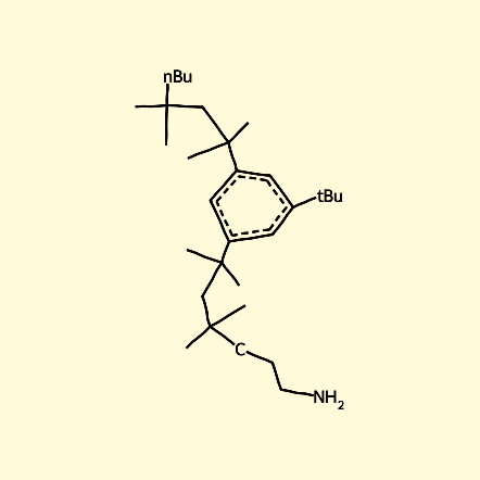 CCCCC(C)(C)CC(C)(C)c1cc(C(C)(C)C)cc(C(C)(C)CC(C)(C)CCCN)c1